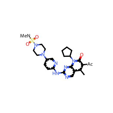 CNS(=O)(=O)N1CCN(c2ccc(Nc3ncc4c(C)c(C(C)=O)c(=O)n(C5CCCC5)c4n3)nc2)CC1